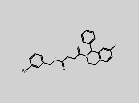 O=C(CCC(=O)N1CCc2ccc(F)cc2C1c1ccccc1)NCc1cccc(C(F)(F)F)c1